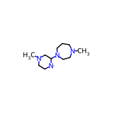 CN1CCCN(C2CN(C)CC[N]2)CC1